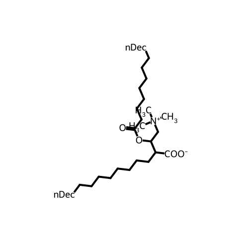 CCCCCCCCCCCCCCCCCCC(C(=O)[O-])C(C[N+](C)(C)C)OC(=O)CCCCCCCCCCCCCCCCC